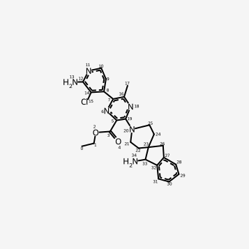 CCOC(=O)c1nc(-c2ccnc(N)c2Cl)c(C)nc1N1CCC2(CC1)Cc1ccccc1C2N